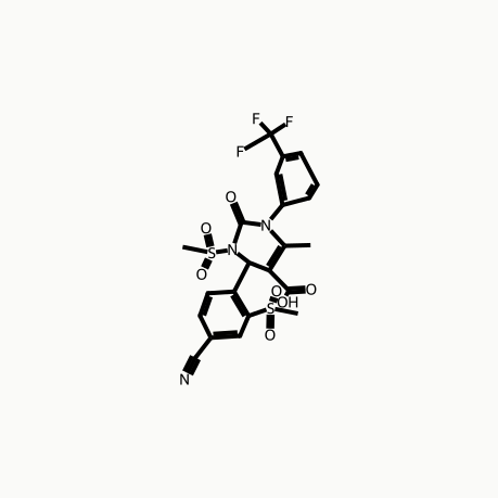 CC1=C(C(=O)O)C(c2ccc(C#N)cc2S(C)(=O)=O)N(S(C)(=O)=O)C(=O)N1c1cccc(C(F)(F)F)c1